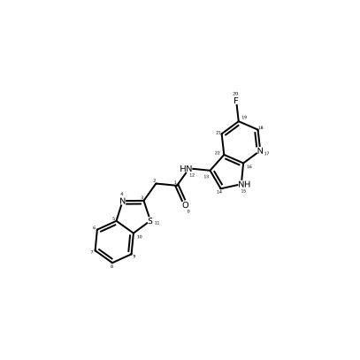 O=C(Cc1nc2ccccc2s1)Nc1c[nH]c2ncc(F)cc12